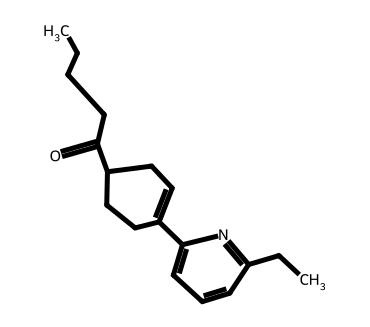 CCCCC(=O)C1CC=C(c2cccc(CC)n2)CC1